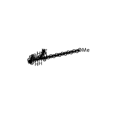 COCCOCCOCCOCCOCCOCCOCCOCCOCCOCCOCCOCCNC(=O)CCC(NC(=O)CCNC(=O)OCC[C@H](CNC(=O)OC(C)(C)C)N1C(=O)C=CC1=O)C(=O)NCCNC(=O)C[N+](C)(C)C